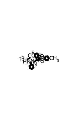 Cc1ccc(S(=O)(=O)n2cc(-c3nc(NC(CC(=O)O)C(C)(C)C)c4ccccc4n3)c3cc(F)cnc32)cc1